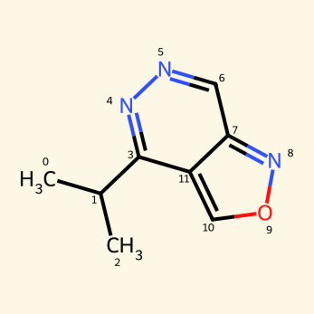 CC(C)c1nncc2nocc12